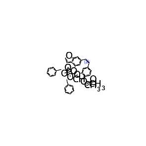 COc1cc(/C=C\c2cc(OP(=O)(OCc3ccccc3)OCc3ccccc3)c3ccoc3c2)cc(OC)c1OC